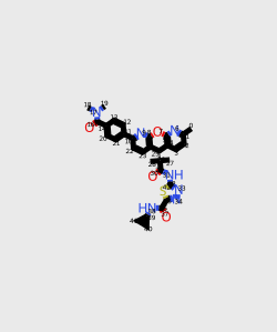 Cc1ccc2c(n1)Oc1nc(-c3ccc(C(=O)N(C)C)cc3)ccc1[C@H]2C(C)(C)C(=O)Nc1nnc(C(=O)NC2CC2)s1